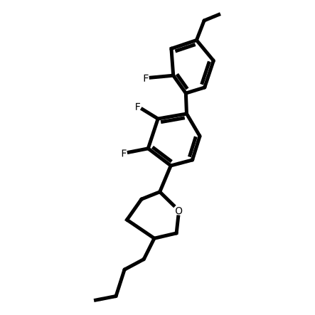 CCCCC1CCC(c2ccc(-c3ccc(CC)cc3F)c(F)c2F)OC1